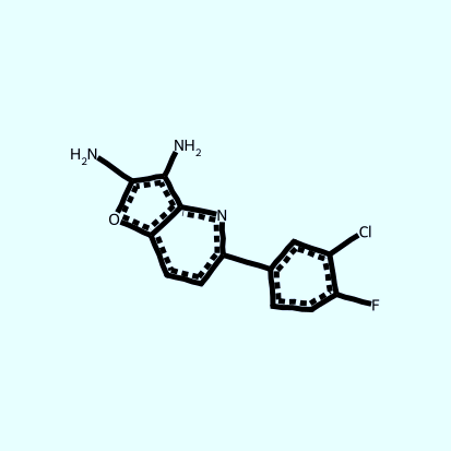 Nc1oc2ccc(-c3ccc(F)c(Cl)c3)nc2c1N